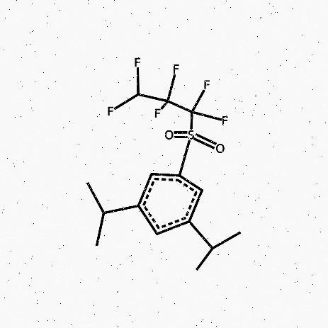 CC(C)c1cc(C(C)C)cc(S(=O)(=O)C(F)(F)C(F)(F)C(F)F)c1